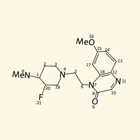 CNC1CCN(CCn2c(=O)cnc3ccc(OC)cc32)CC1F